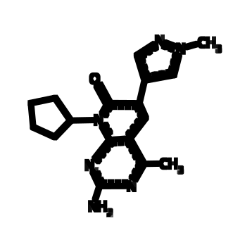 Cc1nc(N)nc2c1cc(-c1cnn(C)c1)c(=O)n2C1CCCC1